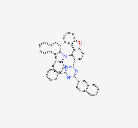 c1ccc(-c2nc(-c3ccc4ccccc4c3)nc(-c3ccc4oc5ccccc5c4c3-n3c4ccccc4c4c5ccccc5ccc43)n2)cc1